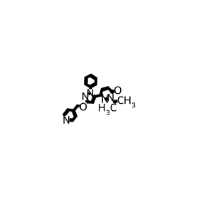 CC(C)n1nc(-c2cc(OCc3ccncc3)nn2-c2ccccc2)ccc1=O